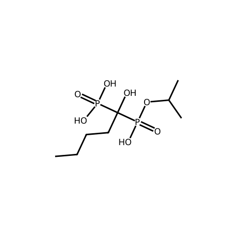 CCCCC(O)(P(=O)(O)O)P(=O)(O)OC(C)C